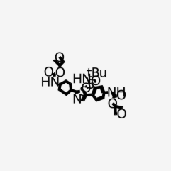 CC(C)(C)NS(=O)(=O)c1cc(NC(=O)OC2COC2)ccc1-c1cnc(C2CCC(NC(=O)OC3COC3)CC2)s1